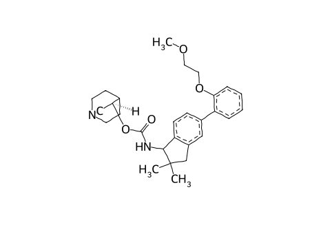 COCCOc1ccccc1-c1ccc2c(c1)CC(C)(C)C2NC(=O)O[C@H]1CN2CCC1CC2